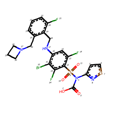 O=C(O)N(c1ccsn1)S(=O)(=O)c1c(F)cc(NCc2c(F)cccc2CN2CCC2)c(Br)c1F